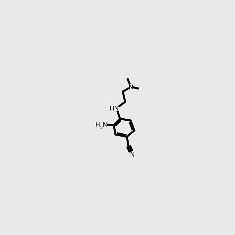 CN(C)CCNc1ccc(C#N)cc1N